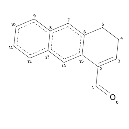 O=CC1=CCCc2cc3ccccc3cc21